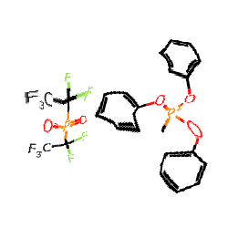 C[P+](Oc1ccccc1)(Oc1ccccc1)Oc1ccccc1.O=P([O-])(C(F)(F)C(F)(F)F)C(F)(F)C(F)(F)F